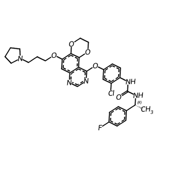 C[C@@H](NC(=O)Nc1ccc(Oc2ncnc3cc(OCCCN4CCCC4)c4c(c23)OCCO4)cc1Cl)c1ccc(F)cc1